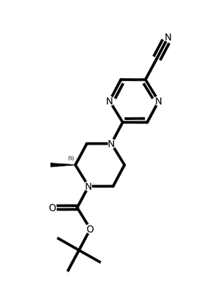 C[C@H]1CN(c2cnc(C#N)cn2)CCN1C(=O)OC(C)(C)C